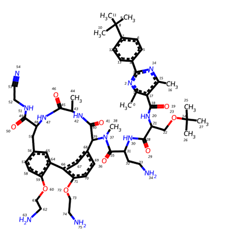 Cc1nc(-c2ccc(C(C)(C)C)cc2)nc(C)c1C(=O)NC(COC(C)(C)C)C(=O)NC(CCN)C(=O)N(C)C1C(=O)NC(C)C(=O)NC(C(=O)NCC#N)Cc2ccc(OCCN)c(c2)-c2cc1ccc2OCCN